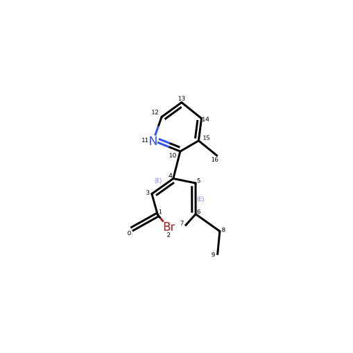 C=C(Br)/C=C(\C=C(/C)CC)c1ncccc1C